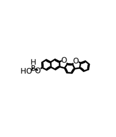 OBOc1ccc2cc3oc4c(ccc5c6ccccc6oc54)c3cc2c1